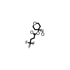 O=NC1(OC(=O)CCC(F)(F)F)CCOCC1